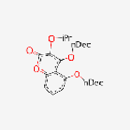 CCCCCCCCCCOc1cccc2oc(=O)c(OC(C)C)c(OCCCCCCCCCC)c12